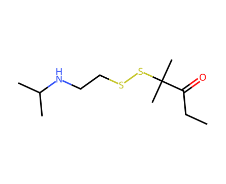 CCC(=O)C(C)(C)SSCCNC(C)C